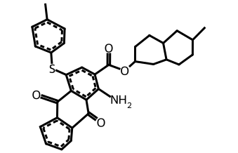 Cc1ccc(Sc2cc(C(=O)OC3CCC4CC(C)CCC4C3)c(N)c3c2C(=O)c2ccccc2C3=O)cc1